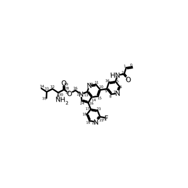 C=CC(=O)Nc1cncc(-c2cnc3c(c2)c(-c2ccnc(F)c2)cn3COC(=O)[C@@H](N)CC(C)C)c1